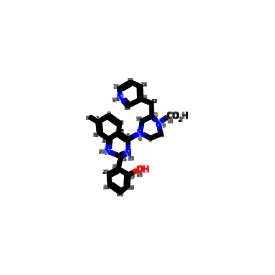 Cc1ccc2c(N3CCN(C(=O)O)C(Cc4cccnc4)C3)nc(-c3ccccc3O)nc2c1